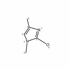 Cc1cn(C)c(Cl)n1